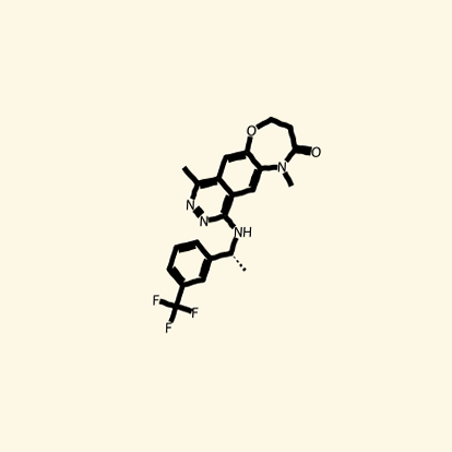 Cc1nnc(N[C@H](C)c2cccc(C(F)(F)F)c2)c2cc3c(cc12)OCCC(=O)N3C